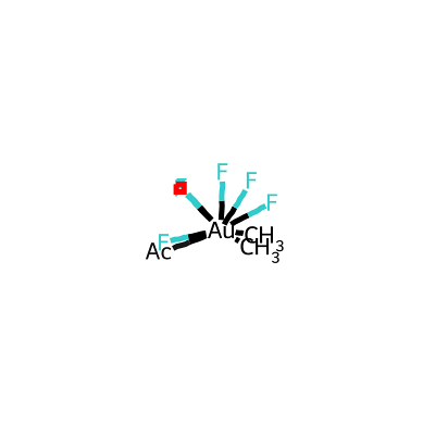 C[C](=O)[Au]([CH3])([CH3])([F])([F])([F])([F])([F])[F]